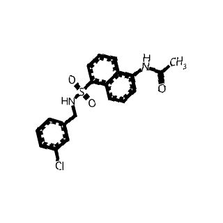 CC(=O)Nc1cccc2c(S(=O)(=O)NCc3cccc(Cl)c3)cccc12